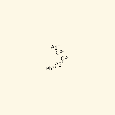 [Ag+].[Ag+].[O-2].[O-2].[Pb+2]